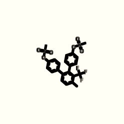 Cc1ccc(-c2ccc(OS(C)(=O)=O)cc2)c(-c2ccc(OS(C)(=O)=O)cc2)c1C(F)(F)F